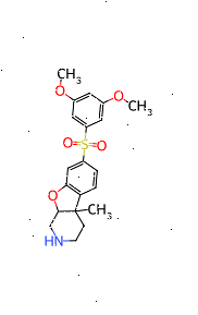 COc1cc(OC)cc(S(=O)(=O)c2ccc3c(c2)OC2CNCCC32C)c1